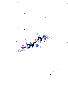 Cc1cc(N2CCNC2=O)cnc1OCC[C@]1(N)C[C@]1(N)C1CCN(c2nc(C(C)C)no2)CC1